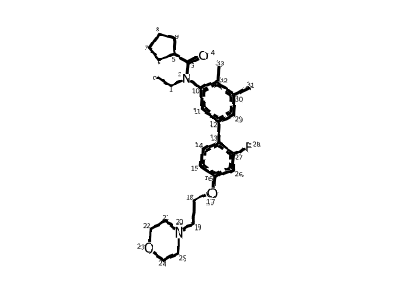 CCN(C(=O)C1CCCC1)c1cc(-c2ccc(OCCN3CCOCC3)cc2F)cc(C)c1C